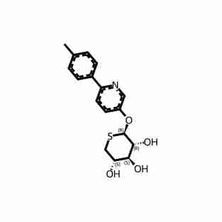 Cc1ccc(-c2ccc(O[C@@H]3SC[C@@H](O)[C@H](O)[C@H]3O)cn2)cc1